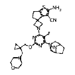 N#Cc1c(N)sc2c1C1(CC2)CN(c2nc(OCC3(CN4CCOCC4)CC3)nc(N3CC4CCC(C3)N4)c2F)C1